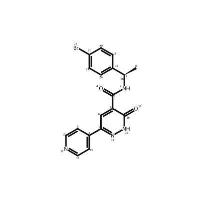 C[C@@H](NC(=O)c1cc(-c2ccncc2)n[nH]c1=O)c1ccc(Br)cc1